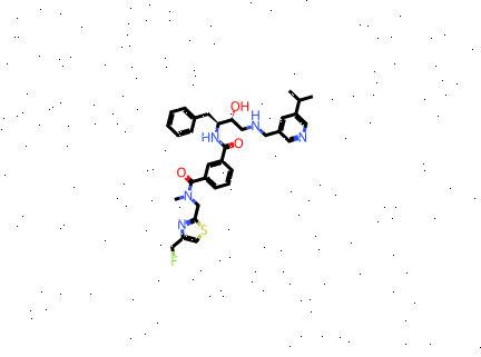 CC(C)c1cncc(CNC[C@@H](O)[C@H](Cc2ccccc2)NC(=O)c2cccc(C(=O)N(C)Cc3nc(CF)cs3)c2)c1